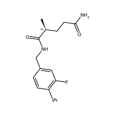 CC(C)c1ccc(CNC(=O)[C@@H](C)CCC(N)=O)cc1F